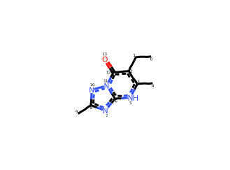 CCc1c(C)[nH]c2nc(C)nn2c1=O